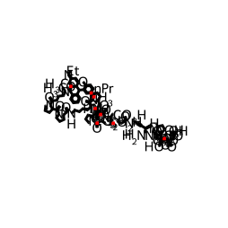 CCCc1cc2c(cc1C)C(c1ccccc1C(=O)N(C)CCCC(=O)N1CCCC1C(=O)N1CCCC1C(=O)NCCCCC(NC(=O)C1CCCN1C(=O)CCSSCCC(=O)NCC#CC1=CN3C(=C(OP(=O)(O)OP(=O)(O)OP(=O)(O)O)[C@H]4O[C@@H]3CC4O)N=C1N)C(=O)N1CCCC1C(=O)NC(CC(=O)O)C(=O)NC(CC(=O)O)C(=O)O)C1C=C(C)/C(=N/CC)C=C1O2